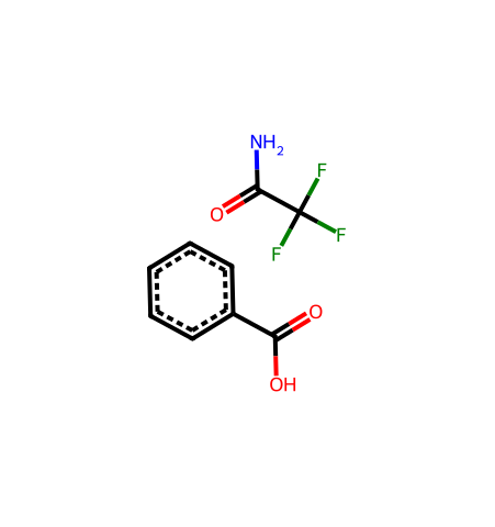 NC(=O)C(F)(F)F.O=C(O)c1ccccc1